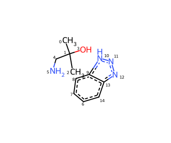 CC(C)(O)CN.c1ccc2[nH]nnc2c1